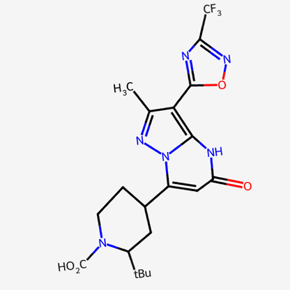 Cc1nn2c(C3CCN(C(=O)O)C(C(C)(C)C)C3)cc(=O)[nH]c2c1-c1nc(C(F)(F)F)no1